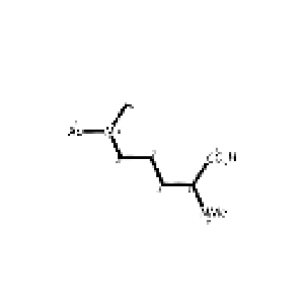 CNC(CCCN(C)C(C)=O)C(=O)O